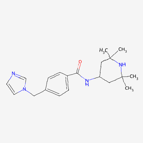 CC1(C)CC(NC(=O)c2ccc(Cn3ccnc3)cc2)CC(C)(C)N1